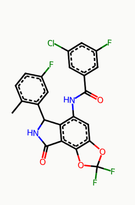 Cc1ccc(F)cc1C1NC(=O)c2c3c(cc(NC(=O)c4cc(F)cc(Cl)c4)c21)OC(F)(F)O3